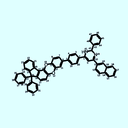 C1=C(c2ccc(-c3ccc4c(c3)Oc3ccc5c(c3O4)-c3ccccc3C5(c3ccccc3)c3ccccc3)cc2)NC(c2ccccc2)N=C1c1ccc2ccccc2c1